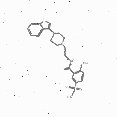 COc1ccc(S(N)(=O)=O)cc1C(=O)NCCN1CCC(c2c[nH]c3ccccc23)CC1